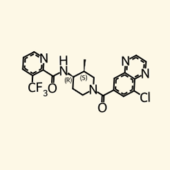 C[C@H]1CN(C(=O)c2cc(Cl)c3nccnc3c2)CC[C@H]1NC(=O)c1ncccc1C(F)(F)F